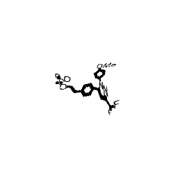 COc1ccc(-n2nc(C(F)F)cc2-c2ccc(CCOS(C)(=O)=O)cc2)cc1